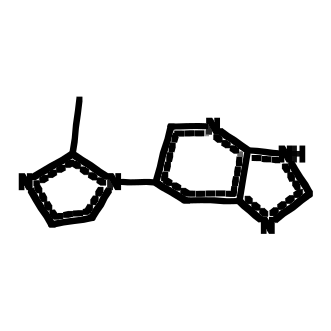 Cc1nccn1-c1cnc2[nH]cnc2c1